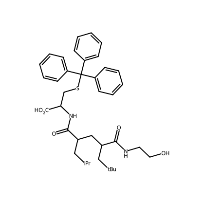 CC(C)CC(CC(CC(C)(C)C)C(=O)NCCO)C(=O)NC(CSC(c1ccccc1)(c1ccccc1)c1ccccc1)C(=O)O